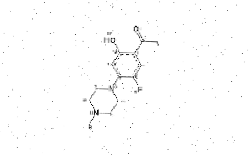 CC(=O)c1cc(F)c(N2CCN(C)CC2)cc1O